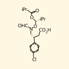 CC(C)C(=O)O[C@@H](ON(C=O)C[C@H](CC(=O)O)c1ccc(Cl)cc1)C(C)C